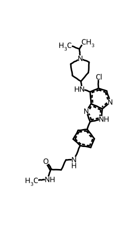 CNC(=O)CCNc1ccc(-c2nc3c(NC4CCN(C(C)C)CC4)c(Cl)cnc3[nH]2)cc1